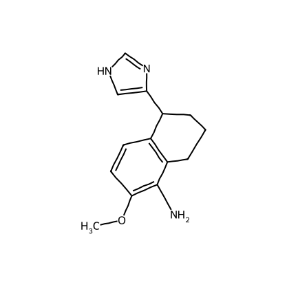 COc1ccc2c(c1N)CCCC2c1c[nH]cn1